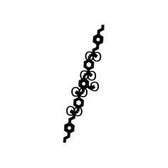 CCCc1ccc(CCC(=O)OC2CCC(C(=O)Oc3ccc(OC(=O)C4CCC(OC(=O)CCc5ccc(CCC)cc5)CC4)c(C=O)c3)CC2)cc1